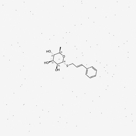 C[C@H]1O[C@H](SCC=Cc2ccccc2)[C@@H](O)[C@@H](O)[C@@H]1O